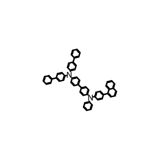 c1ccc(-c2ccc(N(c3ccc(-c4ccccc4)cc3)c3ccc(-c4ccc(N(c5ccccc5)c5ccc(-c6cccc7ccccc67)cc5)cc4)cc3)cc2)cc1